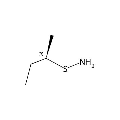 CC[C@@H](C)SN